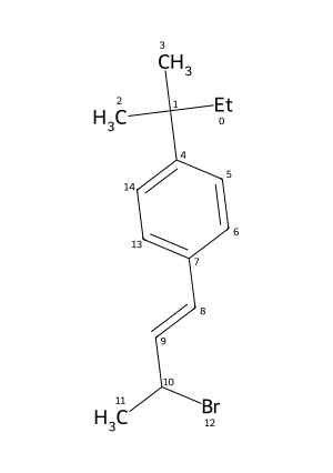 CCC(C)(C)c1ccc(C=CC(C)Br)cc1